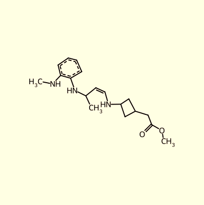 CNc1ccccc1NC(C)/C=C\NC1CC(CC(=O)OC)C1